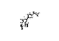 Cc1cc(-c2ccc(CC3CC3)cc2)cc(Cl)c1N=C=S